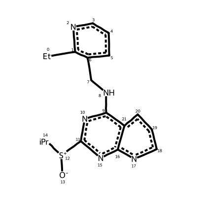 CCc1ncccc1CNc1nc([S+]([O-])C(C)C)nc2ncccc12